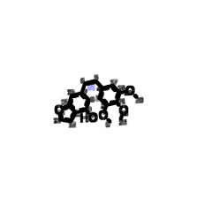 COc1cc(/C=C\c2cc(O)c3ccoc3c2)cc(OC)c1OC